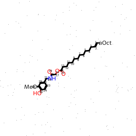 CCCCCCCC/C=C/CCCCCCCCCCCC(=O)OCC(=O)NCc1ccc(O)c(OC)c1